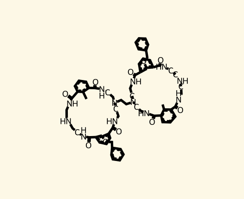 Cc1c2cccc1C(=O)NCCN(CCN1CCNC(=O)c3cccc(c3C)C(=O)NCCNCCNC(=O)c3cccc(c3OCc3ccccc3)C(=O)NCC1)CCNC(=O)c1cccc(c1OCc1ccccc1)C(=O)NCCNCCNC2=O